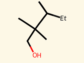 CCC(C)C(C)(C)CO